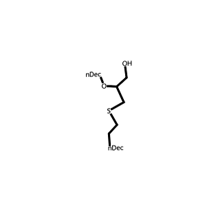 CCCCCCCCCCCCSCC(CO)OCCCCCCCCCC